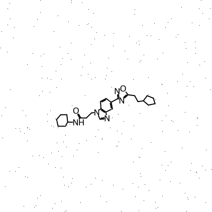 O=C(CCn1cnc2cc(-c3noc(CCC4CCCC4)n3)ccc21)NC1CCCCC1